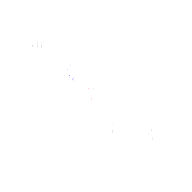 CCCCCCC=NOCc1ccccc1